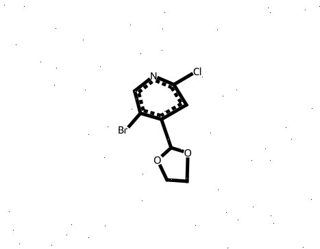 Clc1cc(C2OCCO2)c(Br)cn1